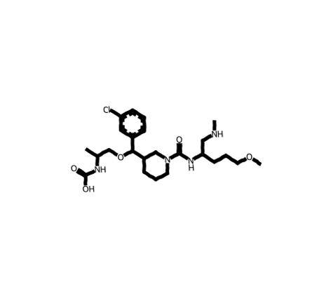 CNCC(CCCOC)NC(=O)N1CCCC(C(OCC(C)NC(=O)O)c2cccc(Cl)c2)C1